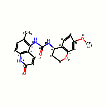 Cc1ccc2[nH]c(=O)ccc2c1NC(=O)N[C@@H]1CCOc2cc(OC(F)(F)F)ccc21